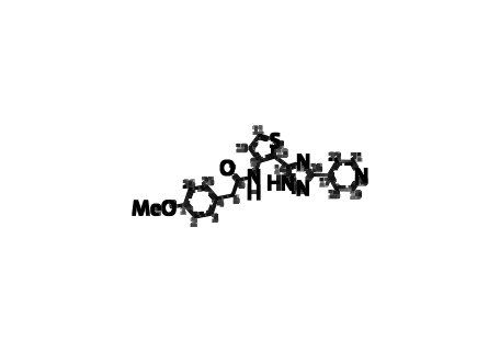 COc1ccc(CC(=O)Nc2ccsc2-c2nc(-c3ccncc3)n[nH]2)cc1